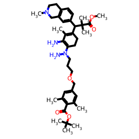 COC(=O)C(C)(C)C(C1=C(C)C(N)=C(N(N)CCCOCc2cc(C)c(C(=O)OC(C)(C)C)c(C)c2)CC1)c1ccc2c(c1)CN(C)CC2